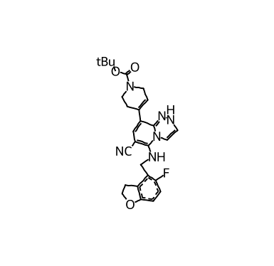 CC(C)(C)OC(=O)N1CC=C(C2=CC(C#N)=C(NCc3c(F)ccc4c3CCO4)N3C=CNN=C23)CC1